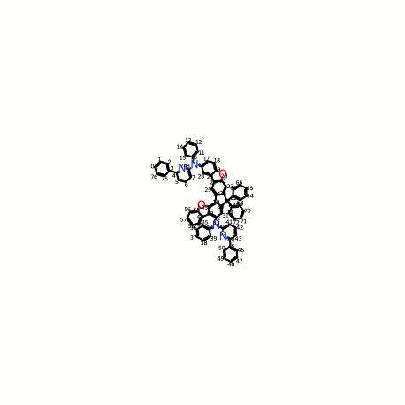 c1ccc(-c2cccc(N(c3ccccc3)c3ccc4oc5cc6c(cc5c4c3)-c3c(cc(N(c4ccccc4)c4cccc(-c5ccccc5)n4)c4c3oc3ccccc34)C6(c3ccccc3)c3ccccc3)n2)cc1